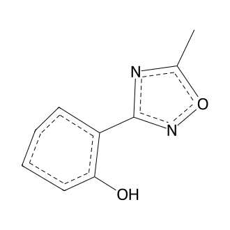 Cc1nc(-c2ccccc2O)no1